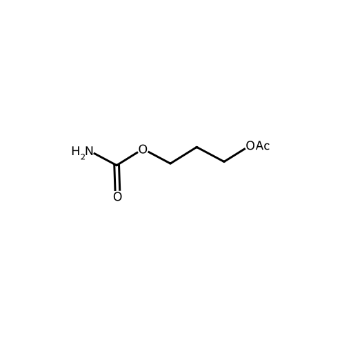 CC(=O)OCCCOC(N)=O